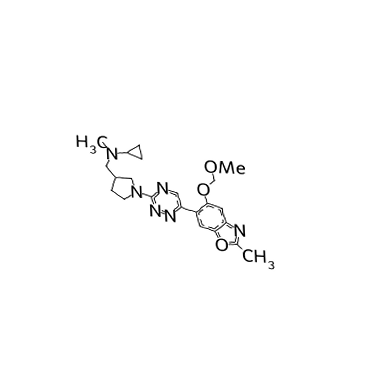 COCOc1cc2nc(C)oc2cc1-c1cnc(N2CCC(CN(C)C3CC3)C2)nn1